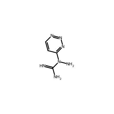 N=C(N)N(N)c1ccnnn1